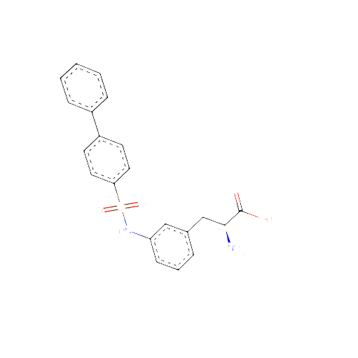 N[C@@H](Cc1cccc(NS(=O)(=O)c2ccc(-c3ccccc3)cc2)c1)C(=O)O